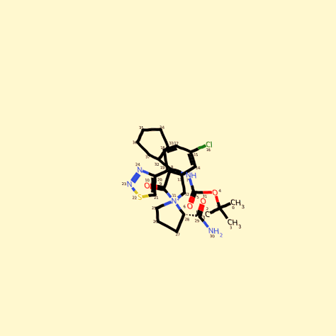 CC(C)(C)OC(=O)N[C@@H](C(=O)[N+]1(Cc2cc(Cl)ccc2-c2csnn2)CCC[C@H]1C(N)=O)C1CCCCC1